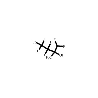 CCC(F)(F)C(F)(F)C(O)(C(F)F)C(F)(F)F